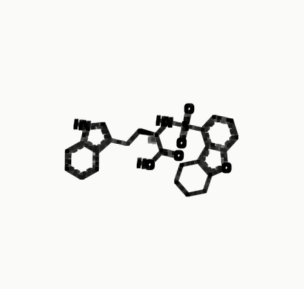 O=C(O)[C@@H](CCc1c[nH]c2ccccc12)NS(=O)(=O)c1cccc2oc3c(c12)CCCC3